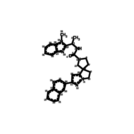 CC(NC(=O)N1CCC2(CCn3nc(-c4cnc5ccccc5c4)cc32)C1)c1nc2ccccc2n1C